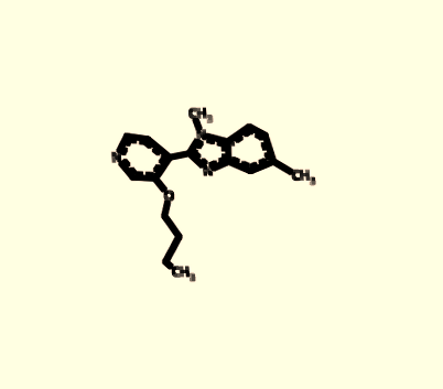 CCCCOc1cnccc1-c1nc2cc(C)ccc2n1C